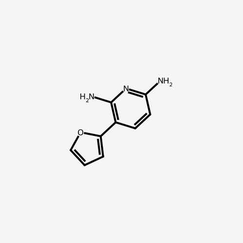 Nc1ccc(-c2ccco2)c(N)n1